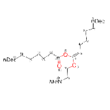 CCCCCCCCCCCCCCC=C(OCCNC)OC(=O)CCCCCCCCCCCCCCC